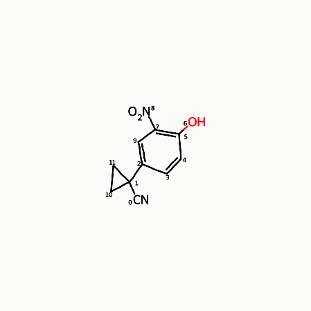 N#CC1(c2ccc(O)c([N+](=O)[O-])c2)CC1